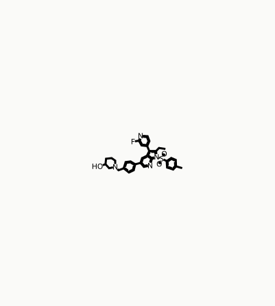 CCc1c(-c2ccnc(F)c2)c2cc(-c3ccc(CN4CCCC(O)C4)cc3)cnc2n1S(=O)(=O)c1ccc(C)cc1